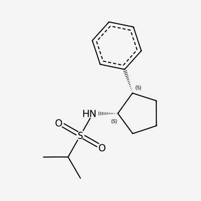 CC(C)S(=O)(=O)N[C@H]1CCC[C@H]1c1ccccc1